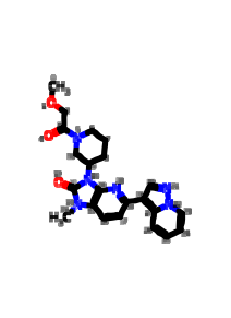 COCC(=O)N1CCCC(n2c(=O)n(C)c3ccc(-c4cnn5ccccc45)nc32)C1